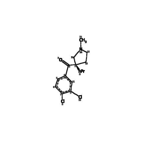 CCC[C@]1(C(=O)c2ccc(Cl)c(Cl)c2)CCN(C)C1